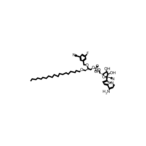 CCCCCCCCCCCCCCCCCCCOC[C@H](COP(=O)(O)OC[C@H]1O[C@@](C#N)(c2ccc3c(N)ccnn23)[C@H](O)[C@@H]1O)OCc1cc(F)cc(C#N)c1